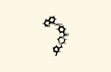 Cc1cccc(CN2CCCN(C(=O)c3ccc(NSc4cccc5cccnc45)cc3)CC2)c1